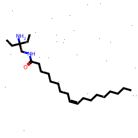 CCCCCCCC/C=C\CCCCCCCC(=O)NCC(N)(CC)CC